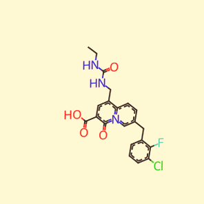 CCNC(=O)NCc1cc(C(=O)O)c(=O)n2cc(Cc3cccc(Cl)c3F)ccc12